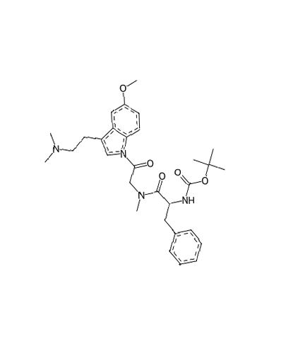 COc1ccc2c(c1)c(CCN(C)C)cn2C(=O)CN(C)C(=O)C(Cc1ccccc1)NC(=O)OC(C)(C)C